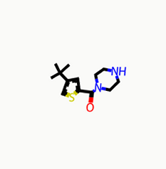 CC(C)(C)c1csc(C(=O)N2CCNCC2)c1